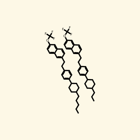 CCCC1CCC(c2ccc(CCc3ccc4cc(OC(F)(F)F)ccc4c3)cc2)CC1.CCCCCC1CCC(c2ccc(CCc3ccc4cc(OC(F)(F)F)ccc4c3)cc2)CC1